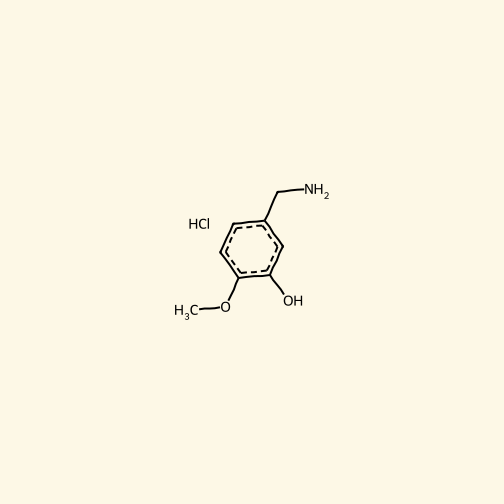 COc1ccc(CN)cc1O.Cl